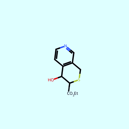 CCOC(=O)C1SCc2cnccc2C1O